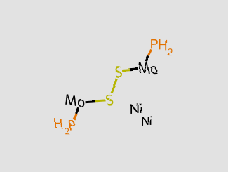 [Ni].[Ni].[PH2][Mo][S][S][Mo][PH2]